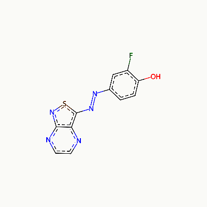 Oc1ccc(/N=N/c2snc3nccnc23)cc1F